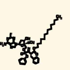 C#C[C@]1(COP(=O)(N[C@@H](Cc2ccccc2)C(=O)OCCCCCCCCCCCCCC)Oc2ccccc2)O[C@@H](n2cnc3c(N)nc(F)nc32)C[C@@H]1O